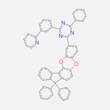 c1ccc(-c2nc(-c3cccc(-c4ccccn4)c3)nc(-c3ccc4c(c3)Oc3c(ccc5c3-c3ccccc3C5(c3ccccc3)c3ccccc3)O4)n2)cc1